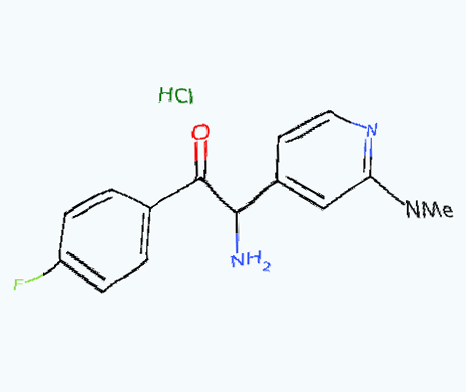 CNc1cc(C(N)C(=O)c2ccc(F)cc2)ccn1.Cl